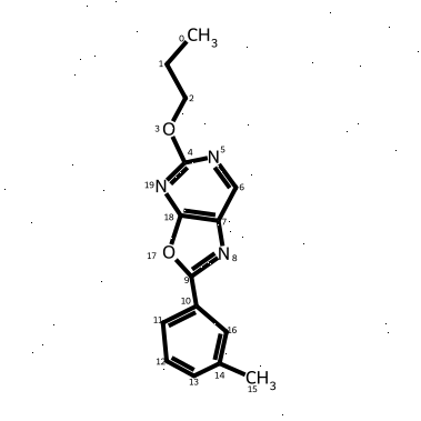 CCCOc1ncc2nc(-c3cccc(C)c3)oc2n1